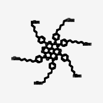 CCCCCCCCCCCCCCCc1ccc(OC(=O)c2c(C(=O)Oc3ccc(CCCCCCCCCCCCCCC)cc3)c(C(=O)Oc3ccc(CCCCCCCCCCCCCCC)cc3)c(C(=O)Oc3ccc(CCCCCCCCCCCCCCC)cc3)c(C(=O)Oc3ccc(CCCCCCCCCCCCCCC)cc3)c2C(=O)Oc2ccc(CCCCCCCCCCCCCCC)cc2)cc1